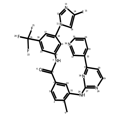 Cc1ccc(C(=O)Nc2cc(-n3cnc(I)c3)cc(C(F)(F)F)c2)cc1Nc1nccc(-c2cccnc2)n1